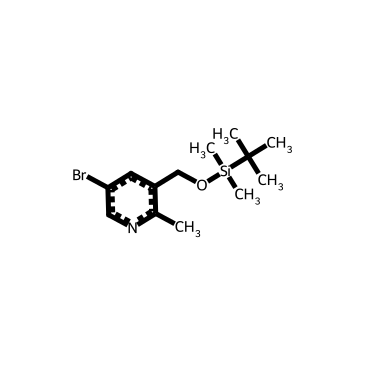 Cc1ncc(Br)cc1CO[Si](C)(C)C(C)(C)C